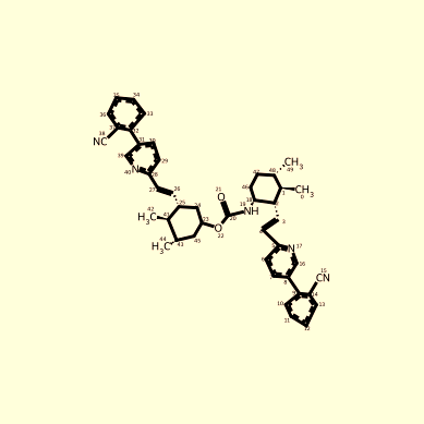 C[C@H]1[C@H](/C=C/c2ccc(-c3ccccc3C#N)cn2)[C@H](NC(=O)OC2C[C@@H](/C=C/c3ccc(-c4ccccc4C#N)cn3)[C@H](C)[C@@H](C)C2)CC[C@@H]1C